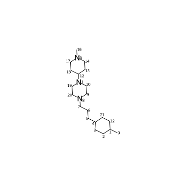 CC1CCC(CCCN2CCN(C3CCN(C)CC3)CC2)CC1